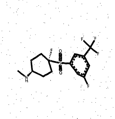 CN[C@H]1CC[C@@](F)(S(=O)(=O)c2cc(F)cc(C(F)(F)F)c2)CC1